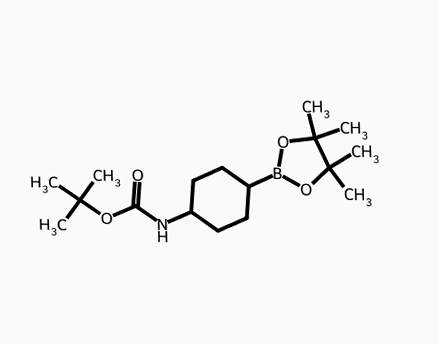 CC(C)(C)OC(=O)NC1CCC(B2OC(C)(C)C(C)(C)O2)CC1